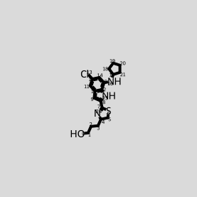 OCCCC1CSC(c2cc3cc(Cl)cc(NC4CCCC4)c3[nH]2)=N1